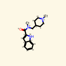 CCN1CCC(CN(CC)C(=O)c2cc3ccccc3[nH]2)CC1